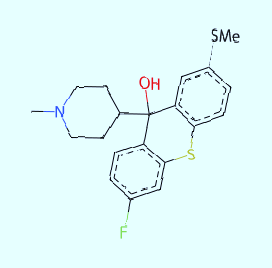 CSc1ccc2c(c1)C(O)(C1CCN(C)CC1)c1ccc(F)cc1S2